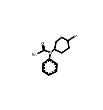 CC(C)C1CCC(N(C(=O)C(C)(C)C)c2ccccc2)CC1